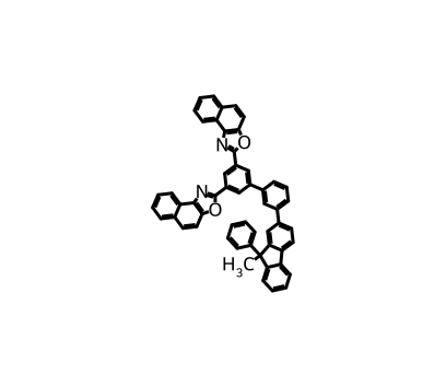 CC1(c2ccccc2)c2ccccc2-c2ccc(-c3cccc(-c4cc(-c5nc6c(ccc7ccccc76)o5)cc(-c5nc6c(ccc7ccccc76)o5)c4)c3)cc21